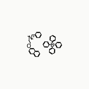 C[N+](C)(CCOc1ccc2ccccc2c1)Cc1ccccc1.c1ccc([B-](c2ccccc2)(c2ccccc2)c2ccccc2)cc1